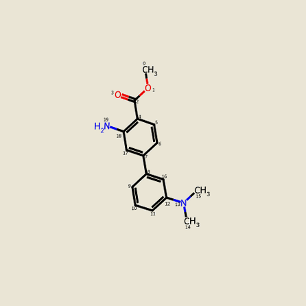 COC(=O)c1ccc(-c2cccc(N(C)C)c2)cc1N